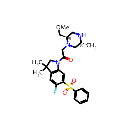 COC[C@H]1CN[C@H](C)CN1CC(=O)N1CC(C)(C)c2cc(F)c(S(=O)(=O)c3ccccc3)cc21